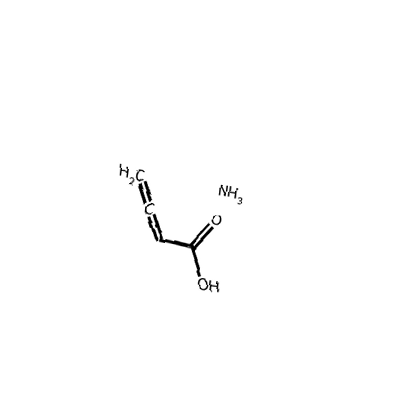 C=C=CC(=O)O.N